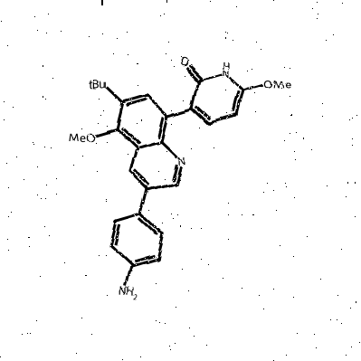 COc1ccc(-c2cc(C(C)(C)C)c(OC)c3cc(-c4ccc(N)cc4)cnc23)c(=O)[nH]1